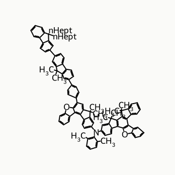 CCCCCCCC1(CCCCCCC)c2ccccc2-c2ccc(-c3ccc4c(c3)C(C)(C)c3cc(-c5ccc(-c6cc7c(c8c6oc6ccccc68)-c6ccc(N(c8ccc9c(c8)C(C)(C)c8c%10c(c%11c(oc%12ccccc%12%11)c8-9)-c8ccccc8C%10(C)C)c8c(C)cccc8C)cc6C7(C)C)cc5)ccc3-4)cc21